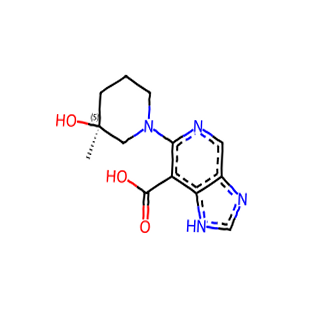 C[C@]1(O)CCCN(c2ncc3nc[nH]c3c2C(=O)O)C1